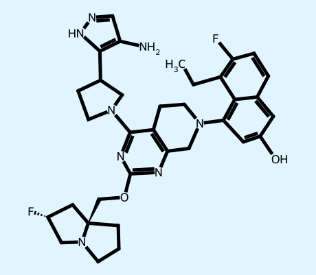 CCc1c(F)ccc2cc(O)cc(N3CCc4c(nc(OC[C@@]56CCCN5C[C@H](F)C6)nc4N4CCC(c5[nH]ncc5N)C4)C3)c12